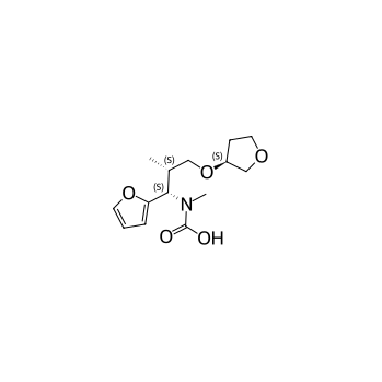 C[C@H](CO[C@H]1CCOC1)[C@@H](c1ccco1)N(C)C(=O)O